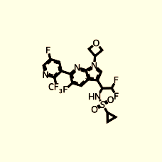 O=S(=O)(NC(c1cn(C2COC2)c2nc(-c3cc(F)cnc3C(F)(F)F)c(F)cc12)C(F)F)C1CC1